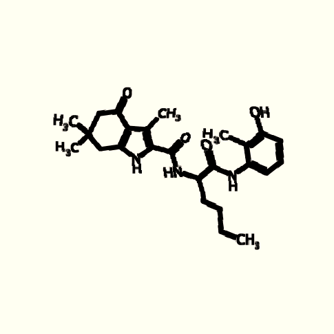 CCCCC(NC(=O)c1[nH]c2c(c1C)C(=O)CC(C)(C)C2)C(=O)Nc1cccc(O)c1C